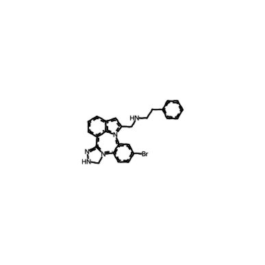 Brc1ccc2c(c1)n1c(CNCCc3ccccc3)cc3cccc(c4n2CNN=4)c31